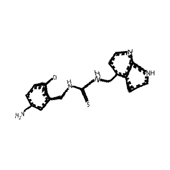 Nc1ccc(Cl)c(CNC(=S)NCc2ccnc3[nH]ccc23)c1